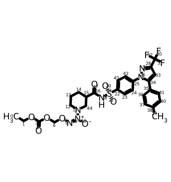 CCOC(=O)OCO/N=[N+](/[O-])N1CCCC(C(=O)NS(=O)(=O)c2ccc(-n3nc(C(F)(F)F)cc3-c3ccc(C)cc3)cc2)C1